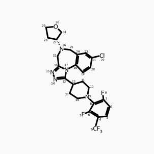 Fc1ccc(C(F)(F)F)c(F)c1N1CCC(c2nnc3n2-c2ccc(Cl)cc2CN([C@@H]2CCOC2)C3)CC1